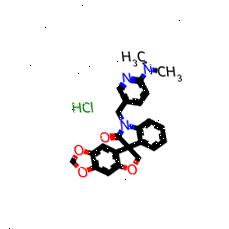 CN(C)c1ccc(CN2C(=O)C3(COc4cc5c(cc43)OCO5)c3ccccc32)cn1.Cl